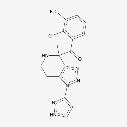 CC1(C(=O)c2cccc(C(F)(F)F)c2Cl)NCCc2c1nnn2-c1cc[nH]n1